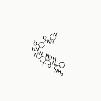 COc1cc(C(=O)NC2CCN(C)CC2)ccc1Nc1ncc2c(n1)-c1noc(C(=O)N[C@H](CN)c3ccccc3)c1C(C)(C)C2